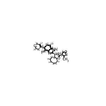 Cc1nocc1C(=O)NC(c1nc2c(F)c(C3=CCOCC3)ccc2[nH]1)C1CCCCCCC1